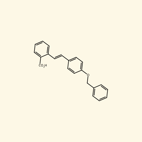 O=C(O)c1ccccc1/C=C/c1ccc(OCc2ccccc2)cc1